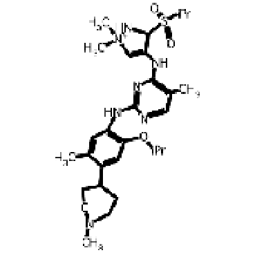 Cc1cc(Nc2ncc(C)c(NC3=C[N+](C)(C)NC3S(=O)(=O)C(C)C)n2)c(OC(C)C)cc1C1CCN(C)CC1